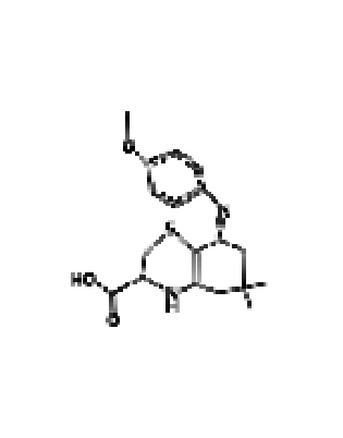 COc1ccc(/N=C2/CC(C)(C)CC3=C2SCC(C(=O)O)N3)cc1